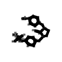 CC(C)(C)c1ccc(CN2CCN(Cc3ccc(NS(C)(=O)=O)cc3)C2=S)cc1